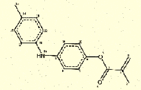 C=C(C)C(=O)Oc1ccc(Nc2ccc(C)cc2)cc1